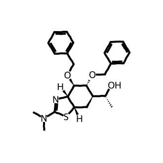 C[C@@H](O)[C@H]1C[C@@H]2SC(N(C)C)=N[C@@H]2[C@@H](OCc2ccccc2)[C@@H]1OCc1ccccc1